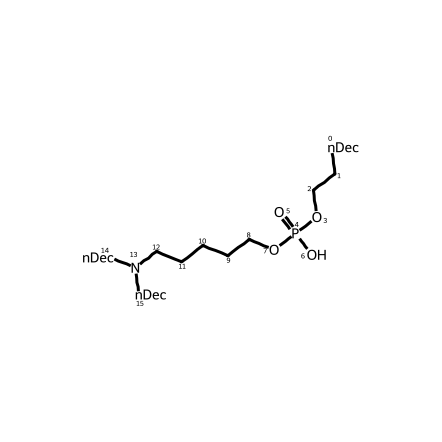 CCCCCCCCCCCCOP(=O)(O)OCCCCCN(CCCCCCCCCC)CCCCCCCCCC